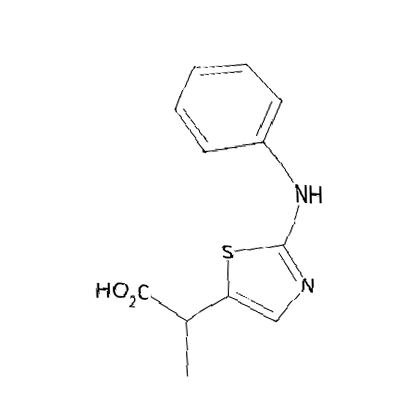 CC(C(=O)O)c1cnc(Nc2ccccc2)s1